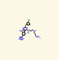 CN(CCCN)CCCNc1nc(Cc2cccc(Br)c2)nc2[nH]c3cc(-c4nnn(C)n4)ccc3c12